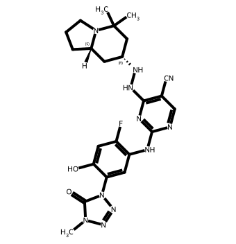 Cn1nnn(-c2cc(Nc3ncc(C#N)c(NN[C@@H]4C[C@@H]5CCCN5C(C)(C)C4)n3)c(F)cc2O)c1=O